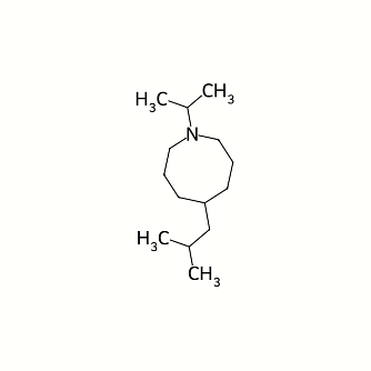 CC(C)CC1CCCN(C(C)C)CCC1